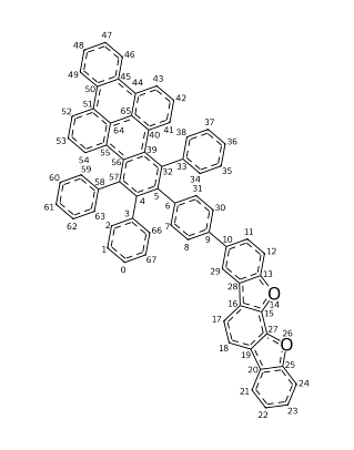 c1ccc(-c2c(-c3ccc(-c4ccc5oc6c(ccc7c8ccccc8oc76)c5c4)cc3)c(-c3ccccc3)c3c4cccc5c6ccccc6c6cccc(c3c2-c2ccccc2)c6c54)cc1